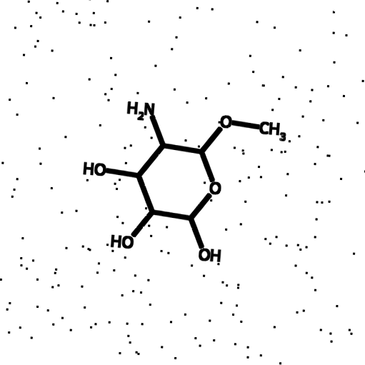 COC1OC(O)C(O)C(O)C1N